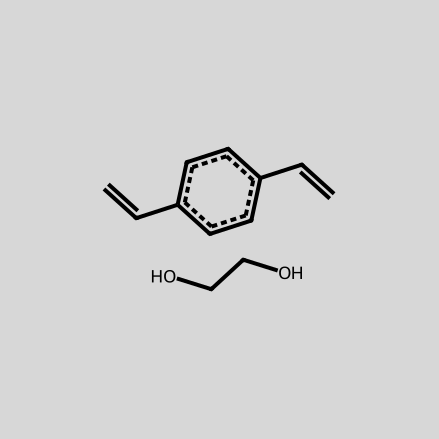 C=Cc1ccc(C=C)cc1.OCCO